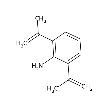 C=C(C)c1cccc(C(=C)C)c1N